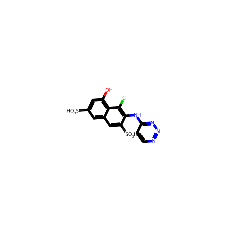 O=S(=O)(O)c1cc(O)c2c(Cl)c(Nc3ccnnn3)c(S(=O)(=O)O)cc2c1